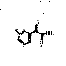 NC(=O)C(=O)c1cccc(Cl)c1